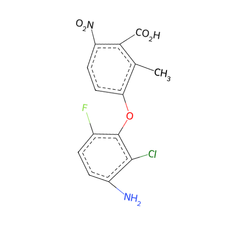 Cc1c(Oc2c(F)ccc(N)c2Cl)ccc([N+](=O)[O-])c1C(=O)O